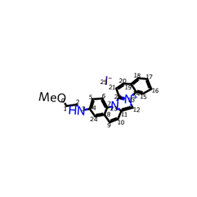 COCCNc1ccc2c(ccc3c[n+]4c5ccccc5ccc4n32)c1.[I-]